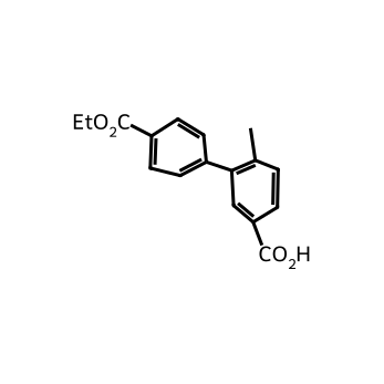 CCOC(=O)c1ccc(-c2cc(C(=O)O)ccc2C)cc1